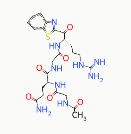 CC(=O)NCC(=O)N[C@@H](CCC(N)=O)C(=O)NCC(=O)N[C@@H](CCCNC(=N)N)C(=O)c1nc2ccccc2s1